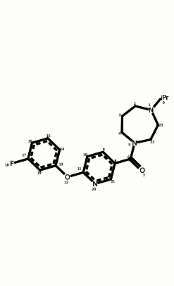 CC(C)N1CCCN(C(=O)c2ccc(Oc3cccc(F)c3)nc2)CC1